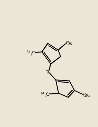 CC1=[C]([Ti][C]2=CC(C(C)(C)C)=CC2C)CC(C(C)(C)C)=C1